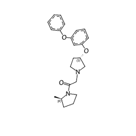 C[C@@H]1CCCN1C(=O)CN1CC[C@H](Oc2cccc(Oc3ccccc3)c2)C1